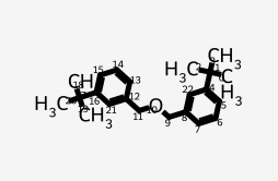 CC(C)(C)c1cccc(COCc2cccc(C(C)(C)C)c2)c1